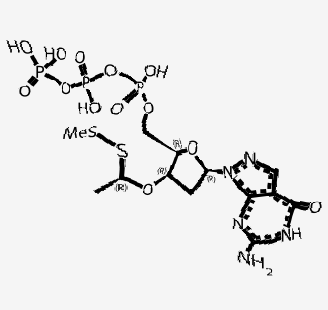 CSS[C@H](C)O[C@@H]1C[C@H](n2ncc3c(=O)[nH]c(N)nc32)O[C@@H]1COP(=O)(O)OP(=O)(O)OP(=O)(O)O